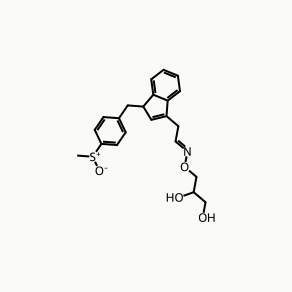 C[S+]([O-])c1ccc(CC2C=C(CC=NOCC(O)CO)c3ccccc32)cc1